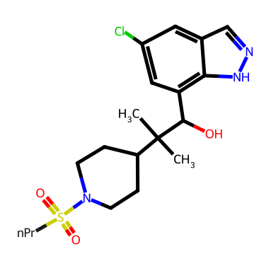 CCCS(=O)(=O)N1CCC(C(C)(C)C(O)c2cc(Cl)cc3cn[nH]c23)CC1